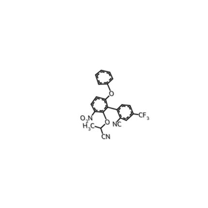 CC(C#N)Oc1c([N+](=O)[O-])ccc(Oc2ccccc2)c1-c1ccc(C(F)(F)F)cc1C#N